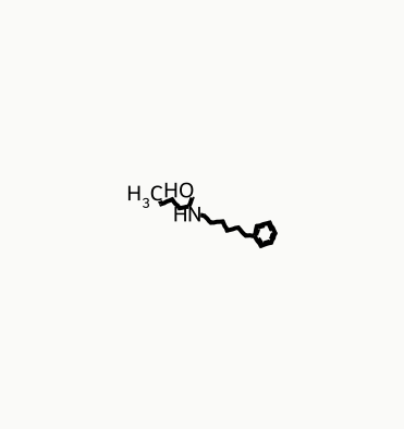 CCCCC(CO)NCCCCCCc1ccccc1